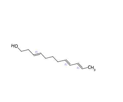 C/C=C/C=C/CCC/C=C/CCO